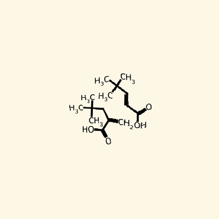 C=C(CC(C)(C)C)C(=O)O.CC(C)(C)C=CC(=O)O